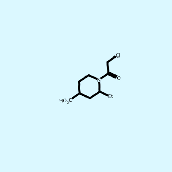 CCC1CC(C(=O)O)CCN1C(=O)CCl